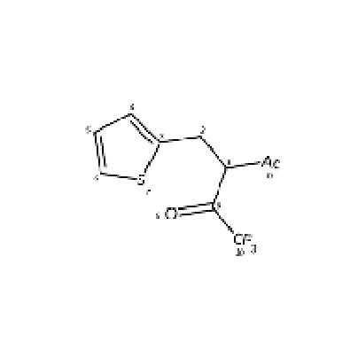 CC(=O)C(Cc1cccs1)C(=O)C(F)(F)F